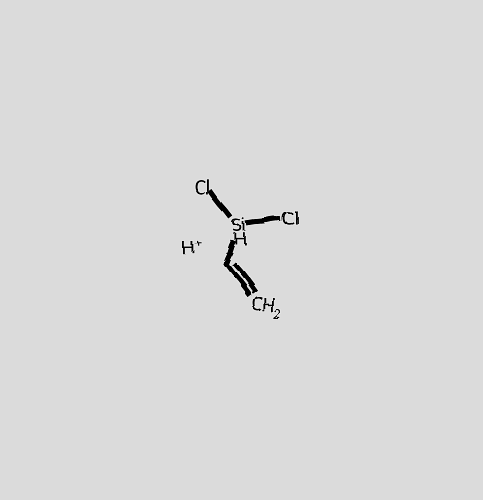 C=C[SiH](Cl)Cl.[H+]